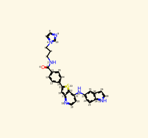 O=C(NCCCn1ccnc1)c1ccc(-c2cc3nccc(Nc4ccc5[nH]ccc5c4)c3s2)cc1